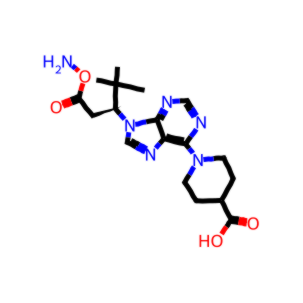 CC(C)(C)[C@H](CC(=O)ON)n1cnc2c(N3CCC(C(=O)O)CC3)ncnc21